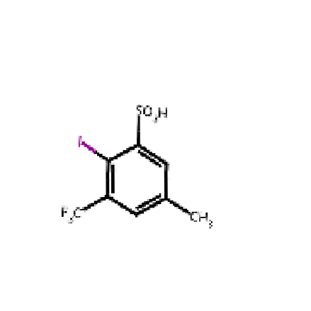 Cc1cc(C(F)(F)F)c(I)c(S(=O)(=O)O)c1